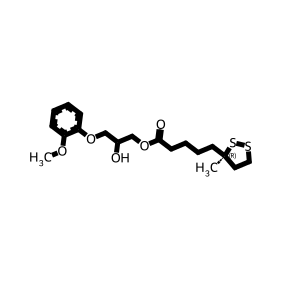 COc1ccccc1OCC(O)COC(=O)CCCC[C@]1(C)CCSS1